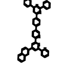 c1ccc(-c2cc(-c3ccc(-c4ccc(-c5cc(-c6ccc7ccccc7c6)cc(-c6ccccn6)n5)nc4)cc3)nc(-c3ccccc3)n2)cc1